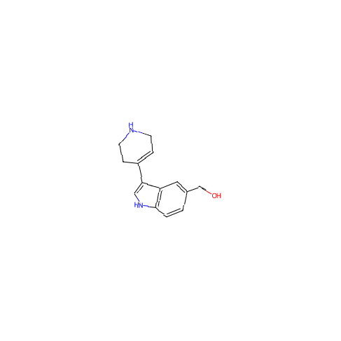 OCc1ccc2[nH]cc(C3=CCNCC3)c2c1